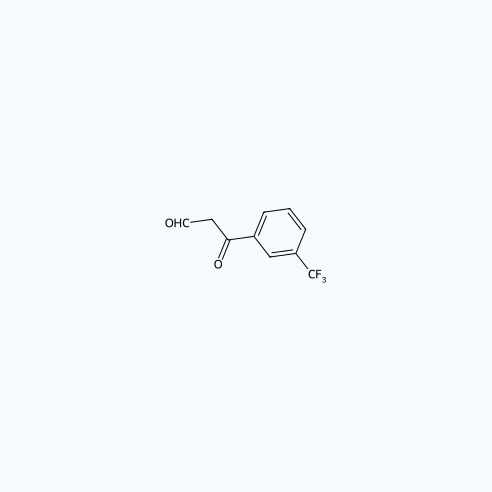 O=CCC(=O)c1cccc(C(F)(F)F)c1